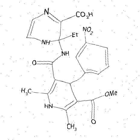 CCC1(NC(=O)C2=C(C)NC(C)=C(C(=O)OC)C2c2cccc([N+](=O)[O-])c2)NC=CN=C1C(=O)O